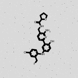 Nc1nc(-c2cc(Nc3ccc(Cl)cc3CF)ccc2O)ccc1CNC(=O)C1CCCO1